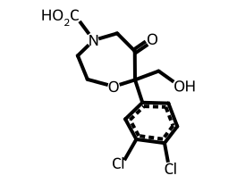 O=C(O)N1CCOC(CO)(c2ccc(Cl)c(Cl)c2)C(=O)C1